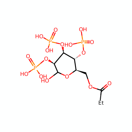 CCC(=O)OC[C@H]1OC(O)[C@@H](OP(=O)(O)O)[C@@H](OP(=O)(O)O)[C@@H]1OP(=O)(O)O